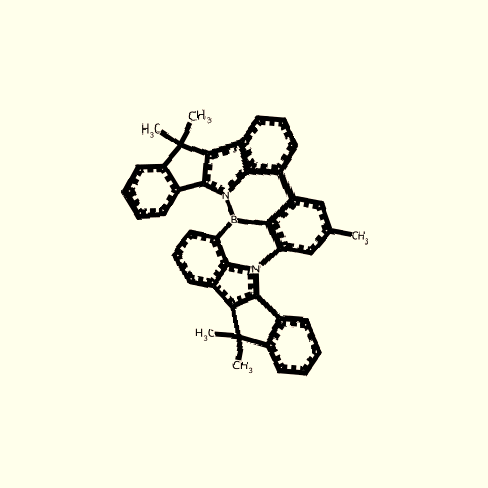 Cc1cc2c3c(c1)-n1c4c(c5cccc(c51)B3n1c3c(c5cccc-2c51)C(C)(C)c1ccccc1-3)C(C)(C)c1ccccc1-4